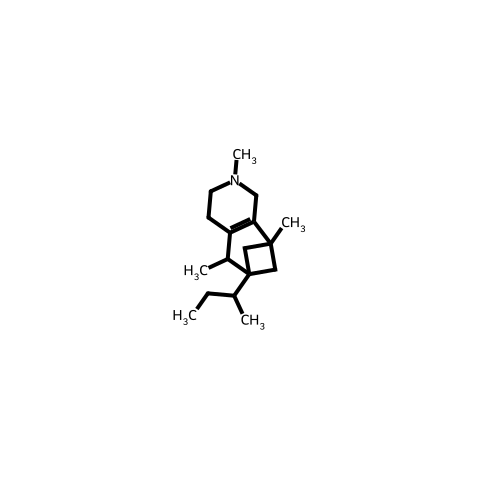 CCC(C)C12CC(C)(C1)C1=C(CCN(C)C1)C2C